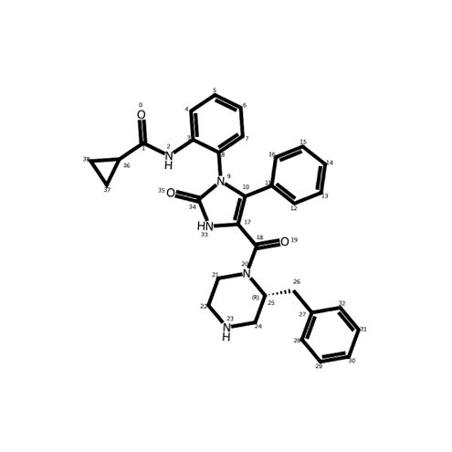 O=C(Nc1ccccc1-n1c(-c2ccccc2)c(C(=O)N2CCNC[C@H]2Cc2ccccc2)[nH]c1=O)C1CC1